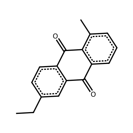 CCc1ccc2c(c1)C(=O)c1cccc(C)c1C2=O